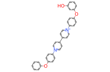 Oc1cccc(Oc2ccc(-[n+]3ccc(-c4cc[n+](-c5ccc(Oc6ccccc6)cc5)cc4)cc3)cc2)c1